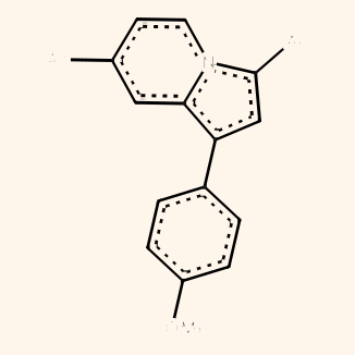 COc1ccc(-c2cc(C(C)=O)n3ccc(C(C)=O)cc23)cc1